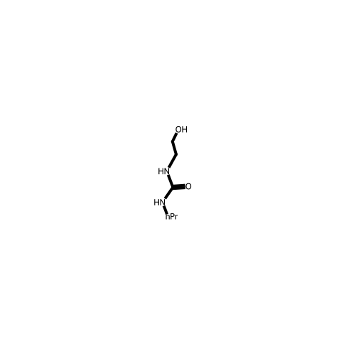 [CH2]CCNC(=O)NCCO